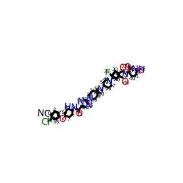 N#Cc1ccc(O[C@H]2CC[C@H](NC(=O)c3cnc(N4CCC5(CC4)CN(C4CCN(c6cc7c(cc6F)C(=O)N(C6CCC(=O)NC6=O)C7=O)CC4)C5)cn3)CC2)cc1Cl